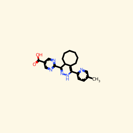 Cc1ccc(C2=C3CCCCCCC3C(c3ncc(C(=O)O)cn3)=NN2)nc1